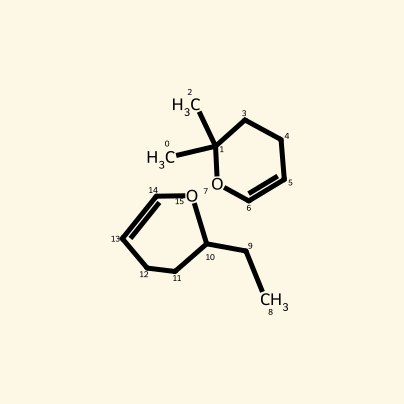 CC1(C)CCC=CO1.CCC1CCC=CO1